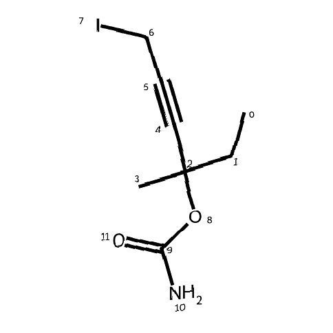 CCC(C)(C#CCI)OC(N)=O